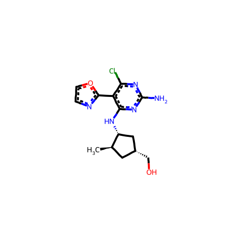 C[C@@H]1C[C@@H](CO)C[C@H]1Nc1nc(N)nc(Cl)c1-c1ncco1